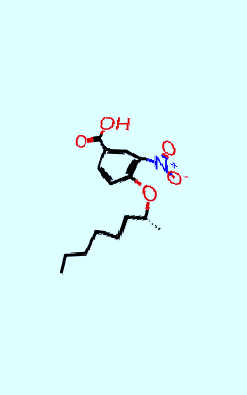 CCCCCC[C@@H](C)Oc1ccc(C(=O)O)cc1[N+](=O)[O-]